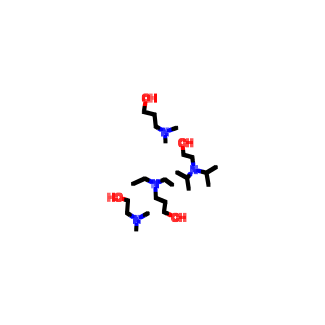 CC(C)N(CCO)C(C)C.CCN(CC)CCCO.CN(C)CCCO.CN(C)CCO